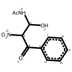 CC(=O)NC(O)C(C(=O)c1ccccc1)[N+](=O)[O-]